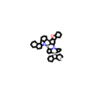 c1ccc2c(c1)-c1ccccc1[Si]21c2ccccc2N2c3cc4c(oc5ccccc54)c4c3B(c3cccc1c32)n1c2ccc3ccccc3c2c2cccc-4c21